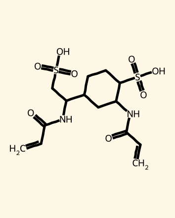 C=CC(=O)NC(CS(=O)(=O)O)C1CCC(S(=O)(=O)O)C(NC(=O)C=C)C1